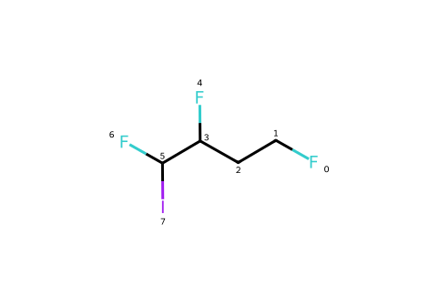 FCCC(F)C(F)I